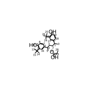 CC(CCC(C)c1ccc(O)c(C(C)(C)C)c1)c1ccc(O)c(C(C)(C)C)c1.CCC(=O)O